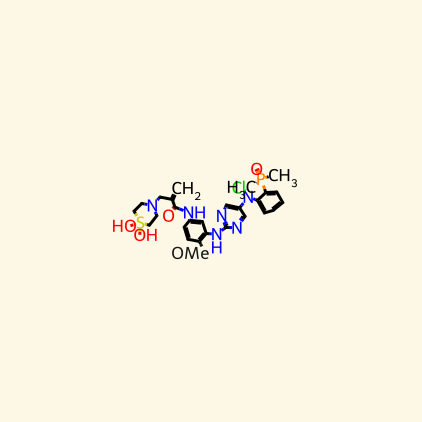 C=C(CN1CCS(O)(O)CC1)C(=O)Nc1ccc(OC)c(Nc2ncc(N(Cl)c3ccccc3P(C)(C)=O)cn2)c1